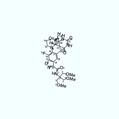 COCC(COC)(COC)NC(=O)c1noc2c(F)c3c(cc12)CC1(C(=O)NC(=O)NC1=O)[C@H]1[C@H](C)OCCN31